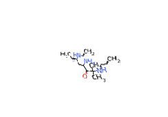 C=CCNC(C)(C)C(=O)C(N)C/C(=C/C)NC=C